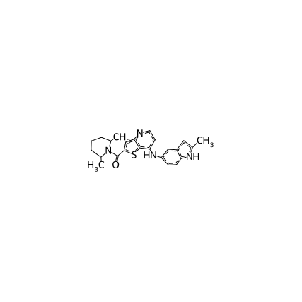 Cc1cc2cc(Nc3ccnc4cc(C(=O)N5C(C)CCCC5C)sc34)ccc2[nH]1